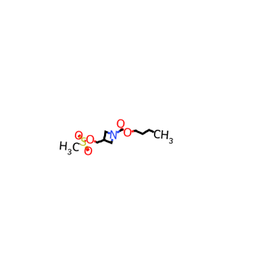 CCCCOC(=O)N1CC(COS(C)(=O)=O)C1